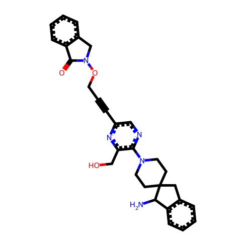 NC1c2ccccc2CC12CCN(c1ncc(C#CCON3Cc4ccccc4C3=O)nc1CO)CC2